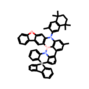 Cc1cc2c3c(c1)N(c1cc4c(cc1C)C(C)(C)CCC4(C)C)c1cc4oc5ccccc5c4cc1B3N1c3ccccc3[Si]3(c4ccccc4-c4ccccc43)c3cccc-2c31